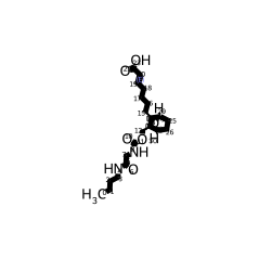 CCCCNC(=O)CNC(=O)OC[C@H]1[C@@H](CCCC/C=C/C(=O)O)[C@H]2CC[C@@H]1O2